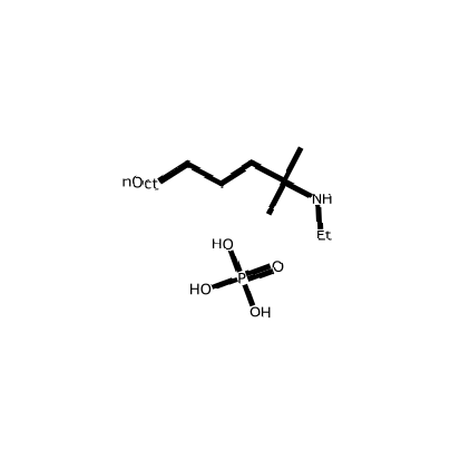 CCCCCCCCCCCC(C)(C)NCC.O=P(O)(O)O